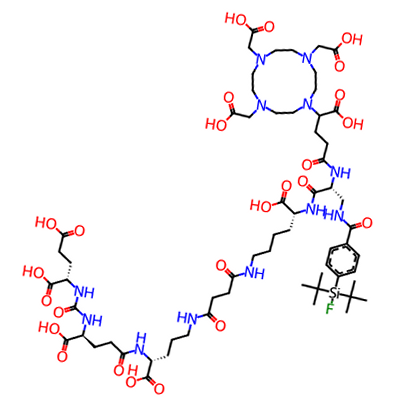 CC(C)(C)[Si](F)(c1ccc(C(=O)NC[C@@H](NC(=O)CCC(C(=O)O)N2CCN(CC(=O)O)CCN(CC(=O)O)CCN(CC(=O)O)CC2)C(=O)N[C@H](CCCCNC(=O)CCC(=O)NCCC[C@@H](NC(=O)CC[C@H](NC(=O)N[C@@H](CCC(=O)O)C(=O)O)C(=O)O)C(=O)O)C(=O)O)cc1)C(C)(C)C